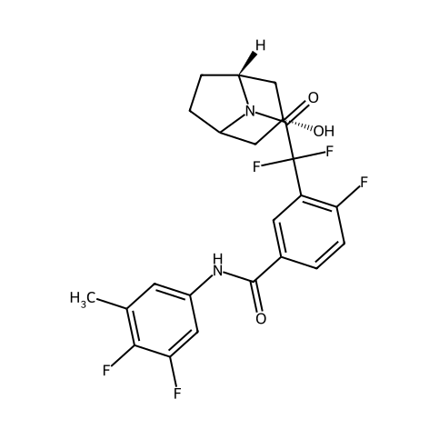 Cc1cc(NC(=O)c2ccc(F)c(C(F)(F)C(=O)N3C4CC[C@@H]3C[C@H](O)C4)c2)cc(F)c1F